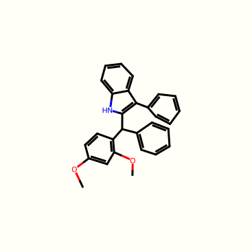 COc1ccc(C(c2ccccc2)c2[nH]c3ccccc3c2-c2ccccc2)c(OC)c1